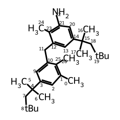 Cc1cc(C(C)(C)CC(C)(C)C)cc(Cc2cc(C(C)(C)CC(C)(C)C)cc(N)c2C)c1C